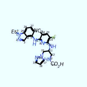 CCn1ncc2c(Nc3nc(NC(CNC(=O)O)Cn4cccn4)c(F)cc3C#N)cccc21